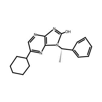 C[C@@H](c1ccccc1)n1c(O)nc2ncc(C3CCCCC3)nc21